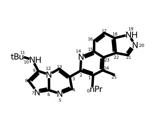 CCCc1c(-c2cnc3ncc(NC(C)(C)C)n3c2)nc2ccc3[nH]ncc3c2c1C